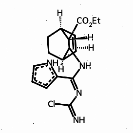 CCOC(=O)[C@@H]1[C@@H](N/C(=N/C(=N)Cl)c2ccc[nH]2)[C@H]2C=C[C@@H]1CC2